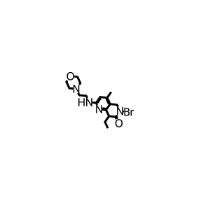 CCC1C(=O)N(Br)Cc2c(C)cc(NCCN3CCOCC3)nc21